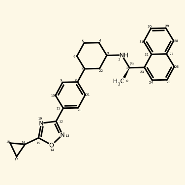 C[C@@H](NC1CCCC(c2ccc(-c3noc(C4CC4)n3)cc2)C1)c1cccc2ccccc12